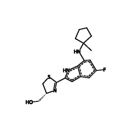 CC1(Nc2cc(F)cc3cc(C4=N[C@H](CO)CS4)[nH]c23)CCCC1